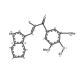 CCOc1c(OC)cc(C(=O)/C(C)=C/c2c[nH]c3ccccc23)cc1OC